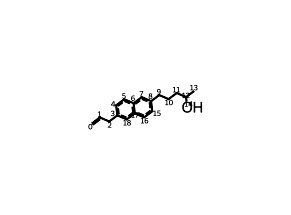 C=CCc1ccc2cc(CCCC(C)O)ccc2c1